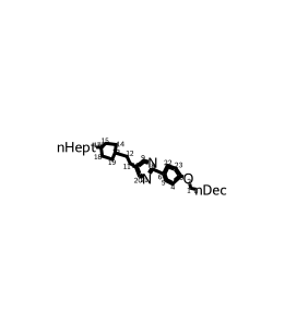 CCCCCCCCCCCOc1ccc(-c2ncc(CCC3CCC(CCCCCCC)CC3)cn2)cc1